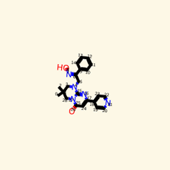 CC1(C)CN(CC(=NO)c2ccccc2)c2nc(-c3ccncc3)cc(=O)n2C1